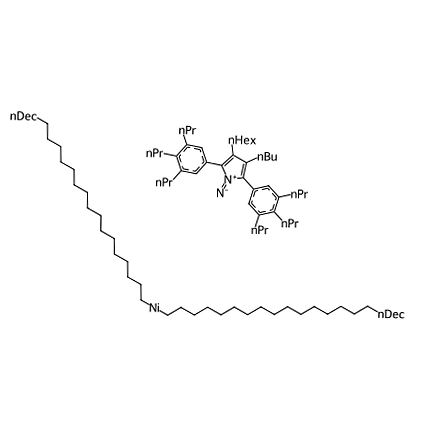 CCCCCCC1=C(c2cc(CCC)c(CCC)c(CCC)c2)[N+](=[N-])C(c2cc(CCC)c(CCC)c(CCC)c2)=C1CCCC.CCCCCCCCCCCCCCCCCCCCCCCCC[CH2][Ni][CH2]CCCCCCCCCCCCCCCCCCCCCCCCC